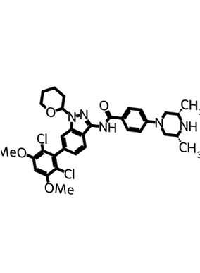 COc1cc(OC)c(Cl)c(-c2ccc3c(NC(=O)c4ccc(N5C[C@@H](C)N[C@@H](C)C5)cc4)nn(C4CCCCO4)c3c2)c1Cl